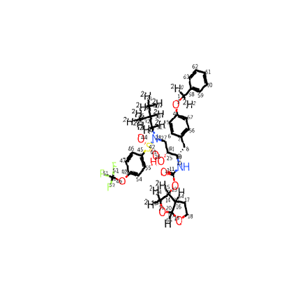 [2H]C([2H])(Oc1ccc(C[C@H](NC(=O)O[C@]2([2H])[C@@H]3CCO[C@@H]3OC2([2H])[2H])[C@H](O)CN(C([2H])([2H])C([2H])(C([2H])([2H])[2H])C([2H])([2H])[2H])S(=O)(=O)c2ccc(OC(F)(F)F)cc2)cc1)c1ccccc1